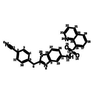 N#Cc1ccc(Cc2nc3cc(NS(=O)(=O)c4cccc5cccnc45)ccc3s2)cc1